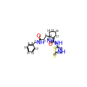 N[C@]1(CCC(=O)NCc2ccccc2)CCCCC1C(=O)Nc1n[nH]c(=S)s1